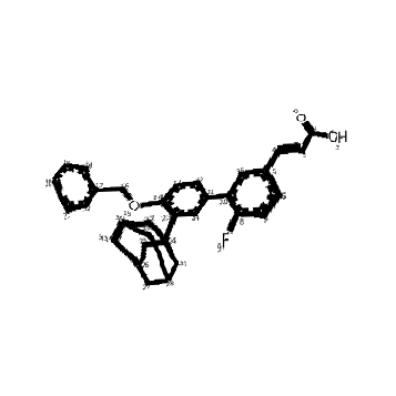 O=C(O)C=Cc1ccc(F)c(-c2ccc(OCc3ccccc3)c(C34CC5CC(CC(C5)C3)C4)c2)c1